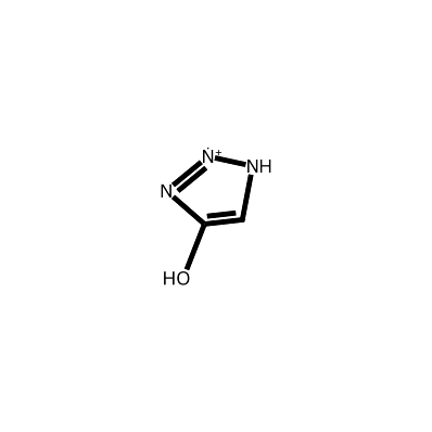 OC1=CN[N+]=N1